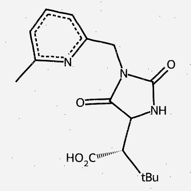 Cc1cccc(CN2C(=O)NC([C@@H](C(=O)O)C(C)(C)C)C2=O)n1